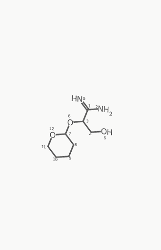 N=C(N)C(CO)OC1CCCCO1